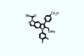 COCc1c(-c2ccc(C(=O)O)cc2)c2cc3c(cnn3C(=O)C(C)(C)C)cc2n1-c1ccc(F)c(C)c1